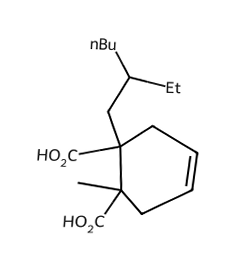 CCCCC(CC)CC1(C(=O)O)CC=CCC1(C)C(=O)O